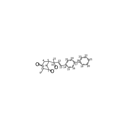 CC1C(=O)CC2CC1OOC2(C)C=Cc1ccc(-c2ccccc2)cc1